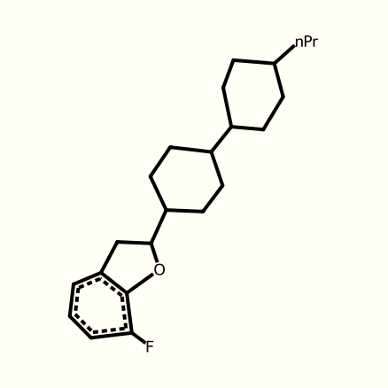 CCCC1CCC(C2CCC(C3Cc4cccc(F)c4O3)CC2)CC1